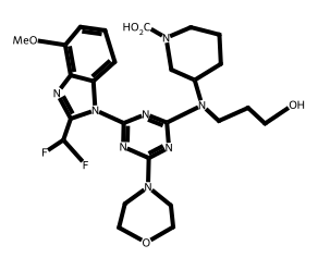 COc1cccc2c1nc(C(F)F)n2-c1nc(N2CCOCC2)nc(N(CCCO)C2CCCN(C(=O)O)C2)n1